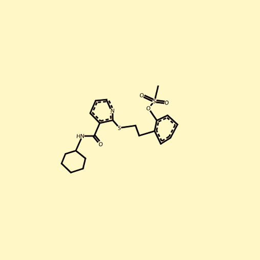 CS(=O)(=O)Oc1ccccc1CCSc1ncccc1C(=O)NC1CCCCC1